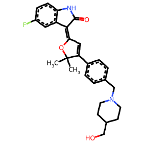 CC1(C)O/C(=C2/C(=O)Nc3ccc(F)cc32)C=C1c1ccc(CN2CCC(CO)CC2)cc1